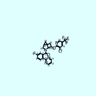 O=C(c1cc(F)ccc1-c1ncccn1)N1CC2CC23CC(Oc2ncc(C(F)(F)F)cc2Cl)C13